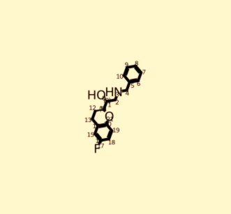 O[C@H](CNCc1ccccc1)[C@@H]1CCc2cc(F)ccc2O1